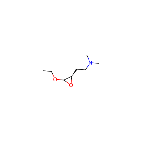 CCOC1O[C@@H]1CCN(C)C